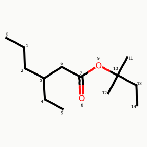 CCCC(CC)CC(=O)OC(C)(C)CC